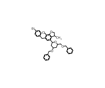 CCc1ccc(Cc2cc(C3CC(OCc4ccccc4)CC(COCc4ccccc4)O3)c3c(c2Cl)OCC3C)cc1